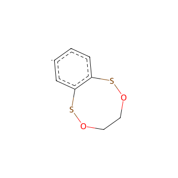 [c]1ccc2c(c1)SOCCOS2